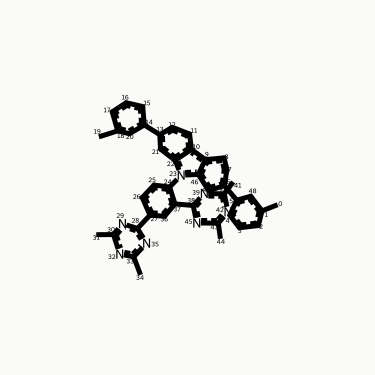 Cc1cccc(-c2ccc3c4ccc(-c5cccc(C)c5)cc4n(-c4ccc(-c5nc(C)nc(C)n5)cc4-c4nc(C)nc(C)n4)c3c2)c1